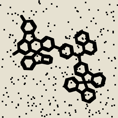 Cc1ccc2c(c1)c1cc(C)cc3c1n2-c1ccc(-c2ccc(N(c4ccc5c(c4)-c4ccccc4C54c5ccccc5-c5ccccc54)c4cccc5ccccc45)cc2)cc1C31c2ccccc2-c2ccccc21